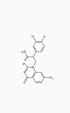 CC(C)c1nc(=O)c2ccc(C(F)(F)F)cc2n1CC(C(N)=O)c1ccc(Cl)c(Cl)c1